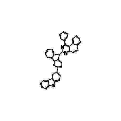 c1ccc(-c2nc(C3c4ccccc4-c4cc(-c5ccc6sc7ccccc7c6c5)ccc43)nc3ccc4ccccc4c23)cc1